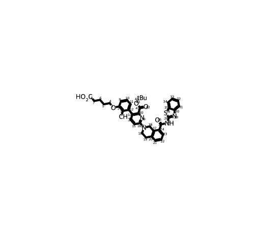 Cc1c(OCCCCC(=O)O)cccc1-c1ccc(N2CCc3cccc(C(=O)Nc4nc5ccccc5s4)c3C2)nc1C(=O)OC(C)(C)C